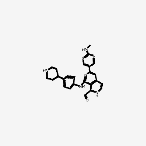 CNc1ncc(-c2cc3c(c(Nc4ccc(C5CCNCC5)cc4)n2)C(C=O)NC=C3)cn1